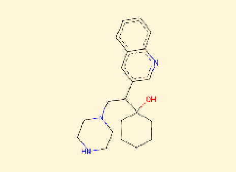 OC1(C(CN2CCNCC2)c2cnc3ccccc3c2)CCCCC1